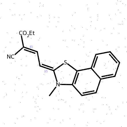 CCOC(=O)/C(C#N)=C/C=C1\Sc2c(ccc3ccccc23)N1C